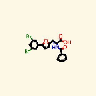 O=C(O)/C(=C/c1ccc(-c2cc(Br)cc(Br)c2)o1)NC(=O)c1ccccc1